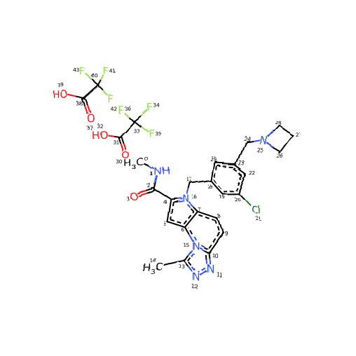 CNC(=O)c1cc2c(ccc3nnc(C)n32)n1Cc1cc(Cl)cc(CN2CCC2)c1.O=C(O)C(F)(F)F.O=C(O)C(F)(F)F